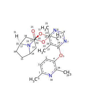 Cc1ccc(Oc2ncnc(O[C@H]3CC4CC[C@@H](C3)N4C(=O)OC(C)C)c2C)c(C)n1